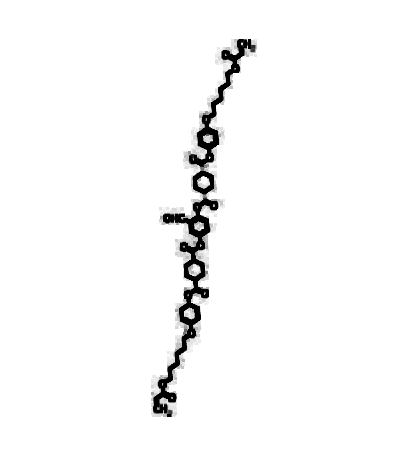 C=CC(=O)OCCCCCCOC1=CCC(OC(=O)C2CCC(C(=O)Oc3ccc(OC(=O)[C@H]4CC[C@@H](C(=O)Oc5ccc(OCCCCCCOC(=O)C=C)cc5)CC4)c(C=O)c3)CC2)C=C1